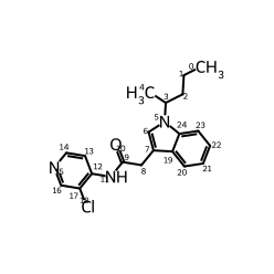 CCCC(C)n1cc(CC(=O)Nc2ccncc2Cl)c2ccccc21